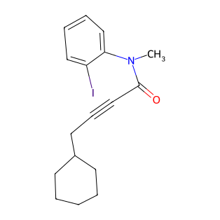 CN(C(=O)C#CCC1CCCCC1)c1ccccc1I